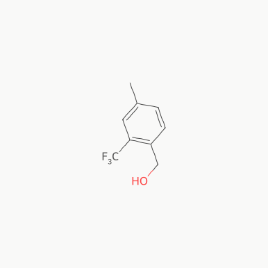 Cc1ccc(CO)c(C(F)(F)F)c1